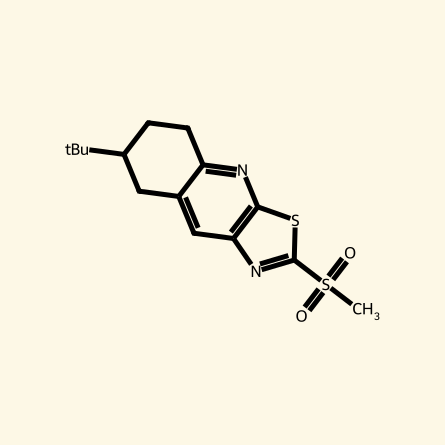 CC(C)(C)C1CCc2nc3sc(S(C)(=O)=O)nc3cc2C1